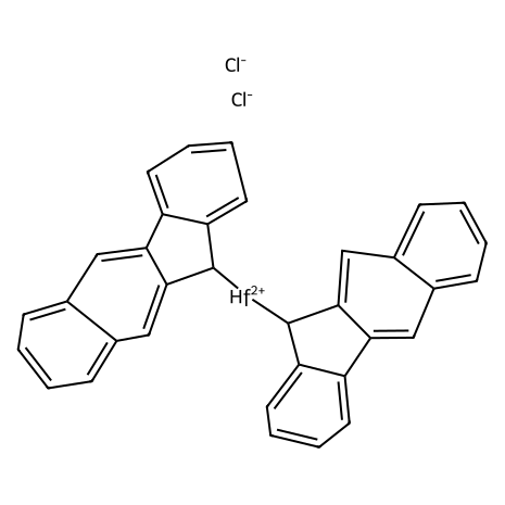 [Cl-].[Cl-].c1ccc2c(c1)-c1cc3ccccc3cc1[CH]2[Hf+2][CH]1c2ccccc2-c2cc3ccccc3cc21